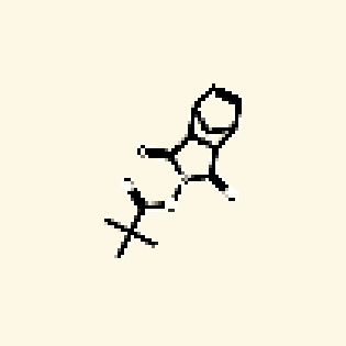 CC(C)(C)C(=O)ON1C(=O)C2C3C=CC(C3)C2C1=O